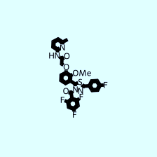 COc1c(OCC(=O)Nc2cccc(C)n2)cccc1C1SC(c2ccc(F)cc2)=NN1C(=O)c1c(F)cc(F)cc1F